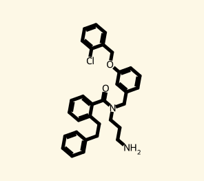 NCCCN(Cc1cccc(OCc2ccccc2Cl)c1)C(=O)c1ccccc1CCc1ccccc1